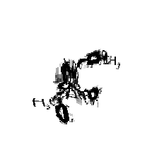 CN[C@H](Cc1ccccc1)C(=O)N[C@@H]1C(=O)N2[C@@H](CC[C@@H]1CCN(C)Cc1ccccc1)CC[C@H]2C(=O)NCCc1ccc(OC)cc1